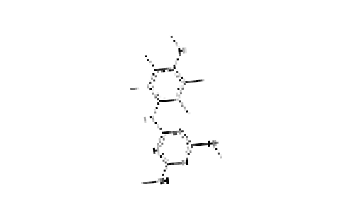 CNc1nc(NC)nc(Nc2c(C)c(C)c(NC)c(C)c2C)n1